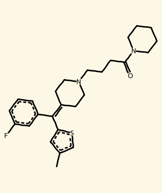 Cc1csc(C(=C2CCN(CCCC(=O)N3CCCCC3)CC2)c2cccc(F)c2)c1